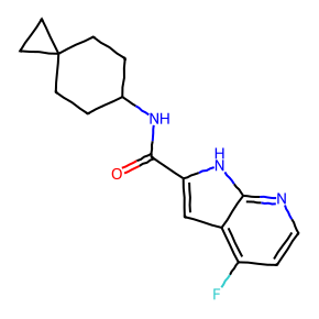 O=C(NC1CCC2(CC1)CC2)c1cc2c(F)ccnc2[nH]1